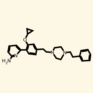 Nc1cccc(-c2ccc(CCN3CCN(CCc4ccccc4)CC3)cc2OC2CC2)n1